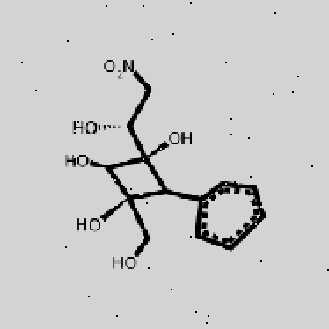 O=[N+]([O-])C[C@@H](O)[C@]1(O)C(c2ccccc2)[C@](O)(CO)[C@H]1O